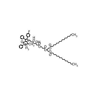 CCCCCCCCCCCCCCCC(=O)OCC(COC(=O)CCCCCCCCCCCCCCC)OC(=O)CCOC(=O)C[C@H](O)C[C@H](O)CCn1c(-c2ccc(F)cc2)c(-c2ccccc2)c(C(=O)Nc2ccccc2)c1C(C)C